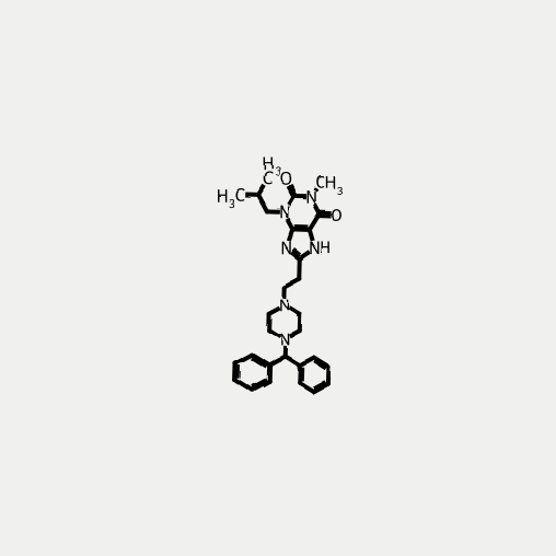 CC(C)Cn1c(=O)n(C)c(=O)c2[nH]c(CCN3CCN(C(c4ccccc4)c4ccccc4)CC3)nc21